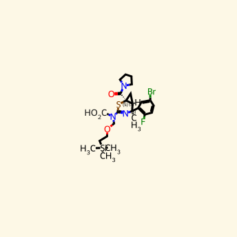 C[C@]1(c2cc(Br)ccc2F)N=C(N(COCC[Si](C)(C)C)C(=O)O)S[C@@]2(C(=O)N3CCCC3)C[C@H]21